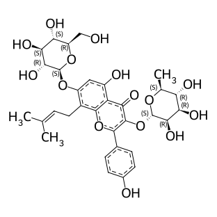 CC(C)=CCc1c(O[C@@H]2O[C@H](CO)[C@@H](O)[C@H](O)[C@H]2O)cc(O)c2c(=O)c(O[C@@H]3O[C@@H](C)[C@H](O)[C@@H](O)[C@H]3O)c(-c3ccc(O)cc3)oc12